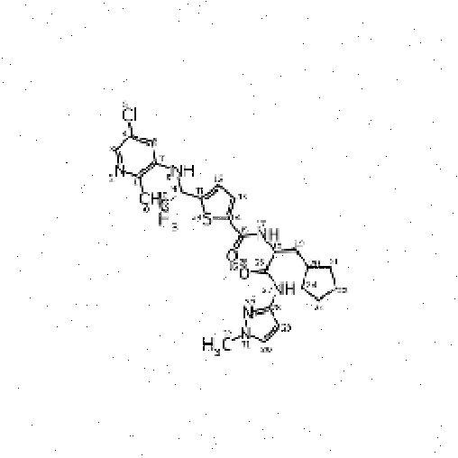 Cc1ncc(Cl)cc1N[C@@H](C)c1ccc(C(=O)N[C@@H](CC2CCCC2)C(=O)Nc2ccn(C)n2)s1